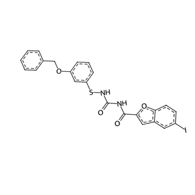 O=C(NSc1cccc(OCc2ccccc2)c1)NC(=O)c1cc2cc(I)ccc2o1